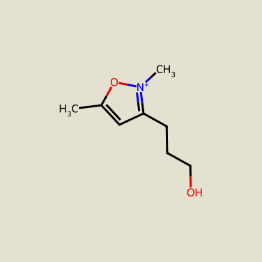 Cc1cc(CCCO)[n+](C)o1